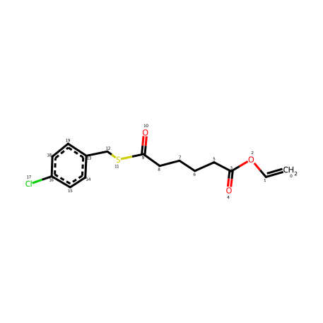 C=COC(=O)CCCCC(=O)SCc1ccc(Cl)cc1